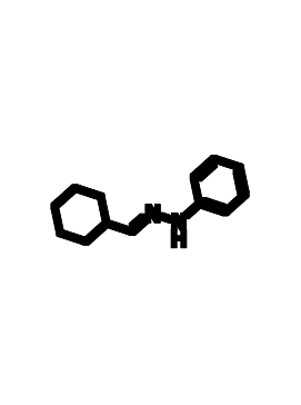 C(=NNc1ccccc1)C1CCCCC1